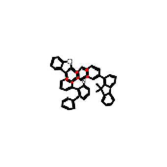 CC1(C)c2ccccc2-c2cccc(-c3cccc(N(c4ccc5c(c4)oc4ccccc45)c4cccc(-c5ccccc5)c4-c4ccccc4-c4ccccc4)c3)c21